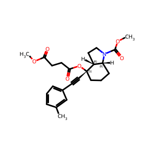 COC(=O)CCC(=O)O[C@@]1(C#Cc2cccc(C)c2)CCC[C@@H]2[C@H]1CCN2C(=O)OC